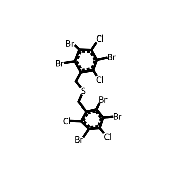 Clc1c(Br)c(Cl)c(CSCc2c(Cl)c(Br)c(Cl)c(Br)c2Br)c(Br)c1Br